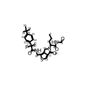 CCCC(C(=O)NC=O)N1Cc2c(csc2CNC(=O)C(F)(F)c2ccc(C(C)(C)C)cc2)C1=O